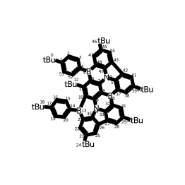 CC(C)(C)c1ccc(B2c3c4c5c6c(c3C(C)(C)C)B(c3ccc(C(C)(C)C)cc3)c3cc(C(C)(C)C)cc7c8cc(C(C)(C)C)cc(c8n-6c37)B5c3cc(C(C)(C)C)cc5c6cc(C(C)(C)C)cc2c6n-4c35)cc1